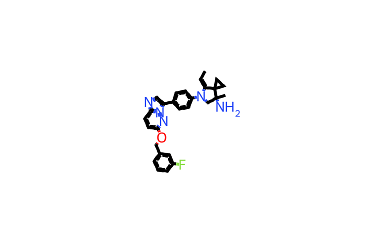 C/C=C1/N(c2ccc(-c3cnc4ccc(OCc5cccc(F)c5)nn34)cc2)CC(C)(N)C12CC2